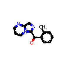 Cc1ccccc1C(=O)c1ncc2ncccn12